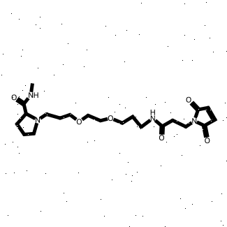 CNC(=O)C1CCCN1CCCOCCOCCCNC(=O)CCN1C(=O)C=CC1=O